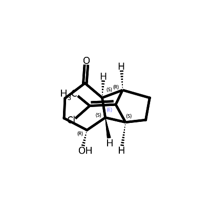 C/C(Cl)=C1/[C@H]2CC[C@@H]1[C@@H]1C(=O)CC[C@@H](O)[C@H]12